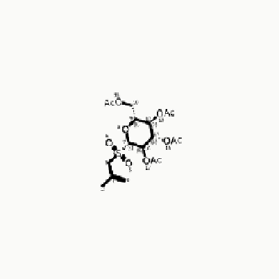 C=C(C)CS(=O)(=O)[C@@H]1O[C@H](COC(C)=O)[C@@H](OC(C)=O)[C@H](OC(C)=O)[C@H]1OC(C)=O